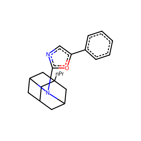 CCCC12CC3CC(C1)N(c1ncc(-c4ccccc4)o1)C(C3)C2